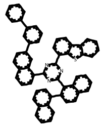 c1ccc(-c2cccc(-c3ccc4cccc(-c5nc(-c6c(-c7cccc8ccccc78)ccc7ccccc67)nc(-c6cccc7c6sc6ccccc67)n5)c4c3)c2)cc1